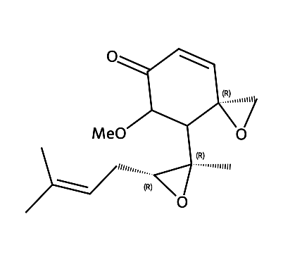 COC1C(=O)C=C[C@]2(CO2)C1[C@@]1(C)O[C@@H]1CC=C(C)C